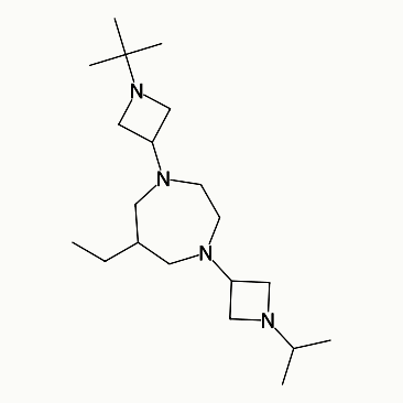 CCC1CN(C2CN(C(C)C)C2)CCN(C2CN(C(C)(C)C)C2)C1